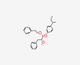 CCC(C)c1ccc(OC(OCCc2ccccc2)C(Cc2ccccc2)OC)cc1